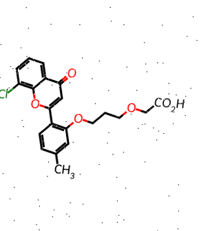 Cc1ccc(-c2cc(=O)c3cccc(Cl)c3o2)c(OCCCOCC(=O)O)c1